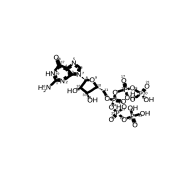 Nc1nc2c(ncn2[C@@H]2O[C@H](COP(=O)(OP(=O)(O)OP(=O)(O)O)OP(=O)(O)OP(=O)(O)O)[C@@H](O)[C@H]2O)c(=O)[nH]1